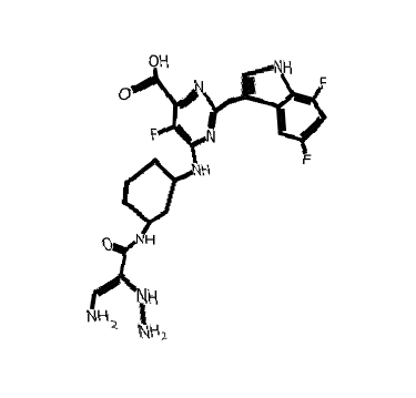 N/C=C(\NN)C(=O)NC1CCCC(Nc2nc(-c3c[nH]c4c(F)cc(F)cc34)nc(C(=O)O)c2F)C1